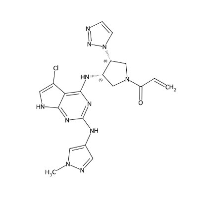 C=CC(=O)N1C[C@H](Nc2nc(Nc3cnn(C)c3)nc3[nH]cc(Cl)c23)[C@H](n2ccnn2)C1